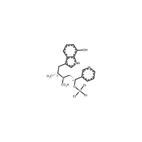 CC[Si](CC)(CC)O[C@H](CN(C(=O)O)[C@H](C)Cc1c[nH]c2c(O)cccc12)c1cccnc1